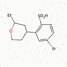 CCC1CC(c2cc(Br)ccc2S(=O)(=O)O)CCO1